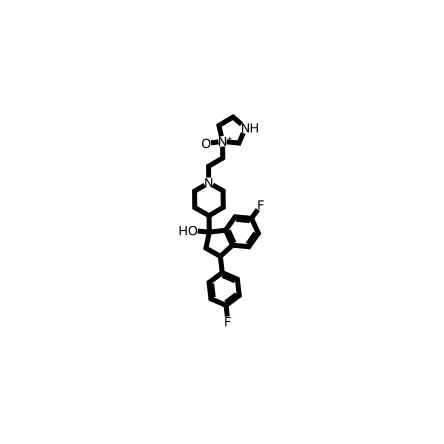 [O-][N+]1(CCN2CCC(C3(O)CC(c4ccc(F)cc4)c4ccc(F)cc43)CC2)CCNC1